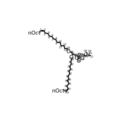 CCCCCCCC/C=C\CCCCCCCCCCCCOCC(COP(=O)(O)OCC[N+](C)(C)C)OCCCCCCCCCCCC/C=C\CCCCCCCC